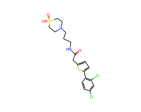 O=C(Cc1ccc(-c2ccc(Cl)cc2Cl)s1)NCCCN1CCS(=O)(=O)CC1